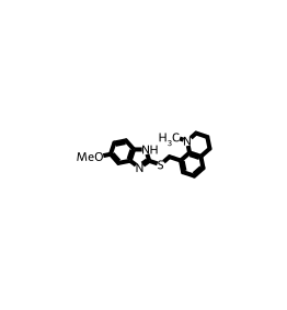 COc1ccc2[nH]c(SCc3cccc4c3N(C)CCC4)nc2c1